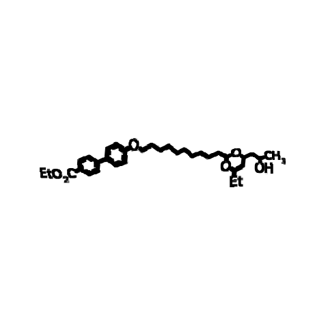 CCOC(=O)c1ccc(-c2ccc(OCCCCCCCCCCC3OC(CC)CC(CC(C)O)O3)cc2)cc1